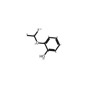 CC(F)Oc1ccccc1O